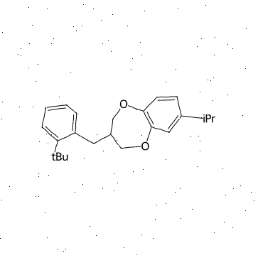 CC(C)c1ccc2c(c1)OCC(Cc1ccccc1C(C)(C)C)CO2